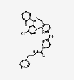 O=C(NCCc1ccncc1)c1ccc(Nc2ncc3c(n2)-c2ccc(Cl)cc2C(c2ccccc2F)=NC3)cc1